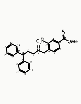 COC(=O)c1ccc(CNCCC(c2ccccc2)c2ccccc2)c([N+](=O)[O-])c1